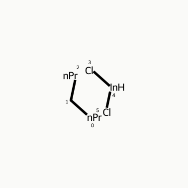 [CH2]CCCCCC.[Cl][InH][Cl]